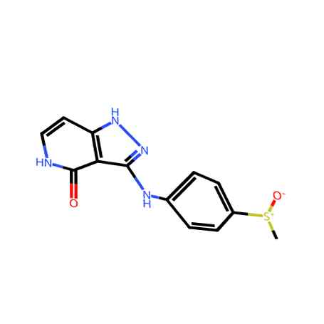 C[S+]([O-])c1ccc(Nc2n[nH]c3cc[nH]c(=O)c23)cc1